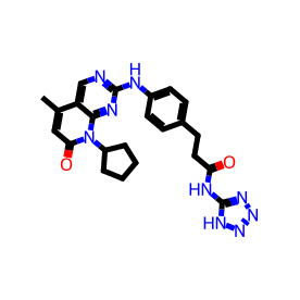 Cc1cc(=O)n(C2CCCC2)c2nc(Nc3ccc(CCC(=O)Nc4nnn[nH]4)cc3)ncc12